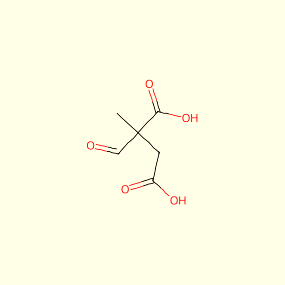 CC(C=O)(CC(=O)O)C(=O)O